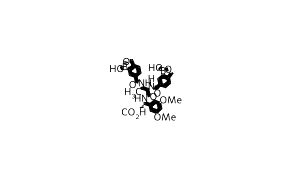 COc1cc(OC)cc([C@H](CC(=O)O)NC(=O)[C@@H](NC(=O)c2ccc3c(c2)B(O)OC3)[C@H](C)NC(=O)c2ccc3c(c2)B(O)OC3)c1